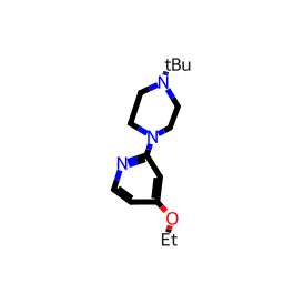 CCOc1ccnc(N2CCN(C(C)(C)C)CC2)c1